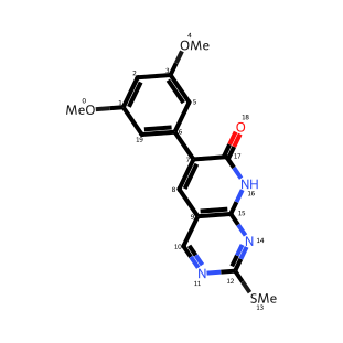 COc1cc(OC)cc(-c2cc3cnc(SC)nc3[nH]c2=O)c1